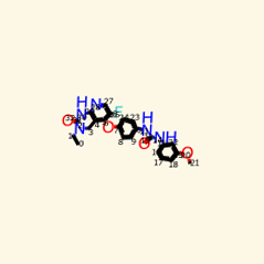 CCN1Cc2c(Oc3ccc(NC(=O)Nc4cccc(OC)c4)cc3F)ccnc2NC1=O